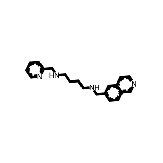 c1ccc(CNCCCCNCc2ccc3cnccc3c2)nc1